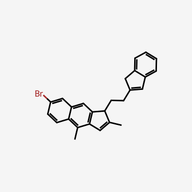 CC1=Cc2c(cc3cc(Br)ccc3c2C)C1CCC1=Cc2ccccc2C1